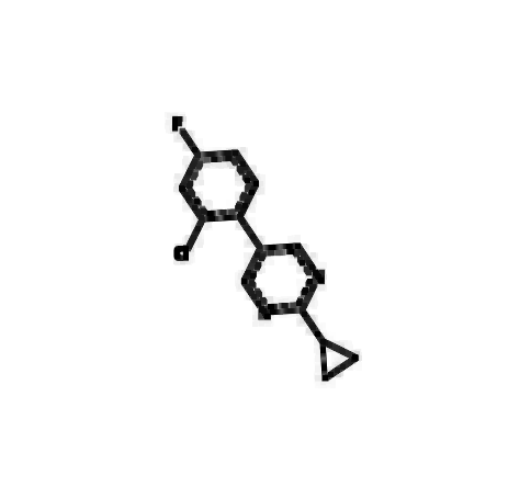 Fc1ccc(-c2cnc(C3CC3)nc2)c(Cl)c1